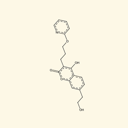 O=c1oc2cc(CCO)ccc2c(O)c1CCCOc1ccccn1